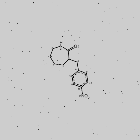 O=C1NCCCCC1Cc1ccc([N+](=O)[O-])cc1